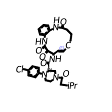 CC(C)CC(=O)N1CCN(c2ccc(Cl)cc2)[C@@H](C(=O)NC2/C=C/CCCCC(=O)Nc3ccccc3NC(=O)C2=O)C1